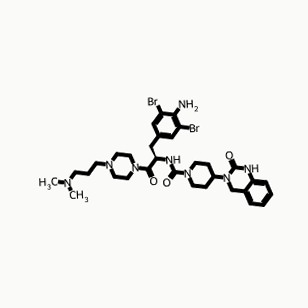 CN(C)CCCN1CCN(C(=O)[C@@H](Cc2cc(Br)c(N)c(Br)c2)NC(=O)N2CCC(N3Cc4ccccc4NC3=O)CC2)CC1